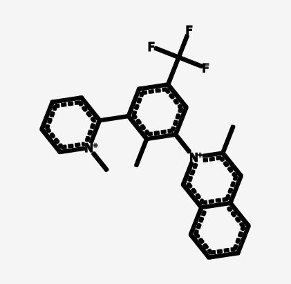 Cc1c(-c2cccc[n+]2C)cc(C(F)(F)F)cc1-[n+]1cc2ccccc2cc1C